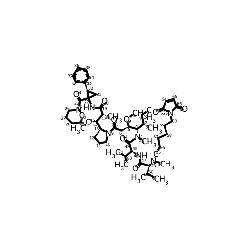 CC[C@H](C)[C@@H]([C@@H](CC(=O)N1CCC[C@H]1[C@H](OC)[C@@H](C)C(=O)NC1(C(=O)N2CCCCO2)C[C@@H]1c1ccccc1)OC)N(C)C(=O)[C@@H](NC(=O)[C@H](C(C)C)N(C)CCCCCCN1C(=O)C=CC1=O)C(C)C